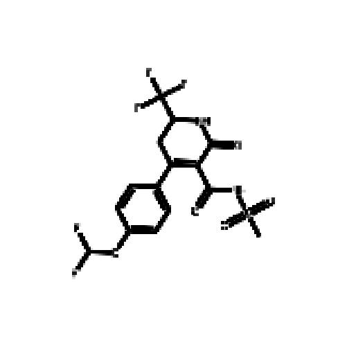 CS(=O)(=O)NC(=O)C1=C(c2ccc(OC(F)F)cc2)CC(C(F)(F)F)NC1=O